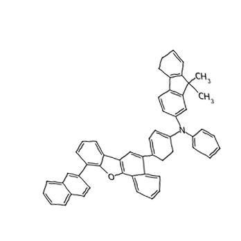 CC1(C)C2=C(CCC=C2)c2ccc(N(C3=CC=C(c4cc5c6cccc(-c7ccc8ccccc8c7)c6oc5c5ccccc45)CC3)c3ccccc3)cc21